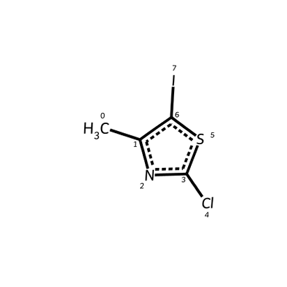 Cc1nc(Cl)sc1I